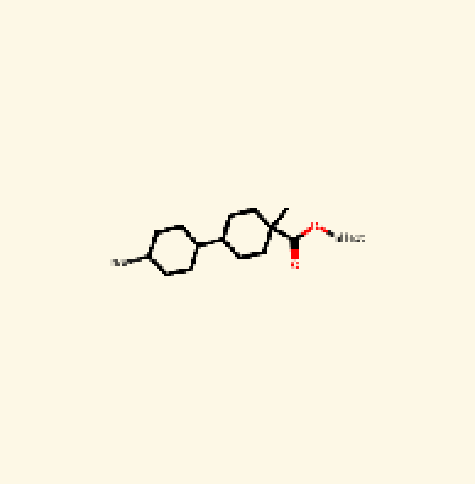 CCCCCCCOC(=O)C1(C)CCC(C2CCC(CCCC)CC2)CC1